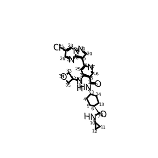 O=C(N[C@H]1CC[C@H](C(=O)NC2CC2)CC1)c1cnc(-c2cnn3cc(Cl)cnc23)cc1NC1COC1